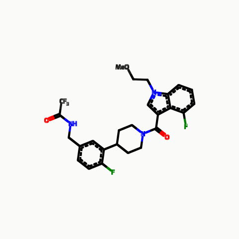 COCCn1cc(C(=O)N2CCC(c3cc(CNC(=O)C(F)(F)F)ccc3F)CC2)c2c(F)cccc21